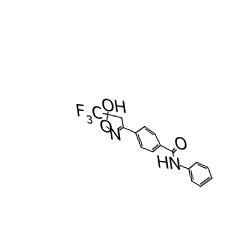 O=C(Nc1ccccc1)c1ccc(C2=NOC(O)(C(F)(F)F)C2)cc1